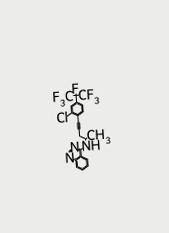 CC(CC#Cc1ccc(C(F)(C(F)(F)F)C(F)(F)F)cc1Cl)Nc1ncnc2ccccc12